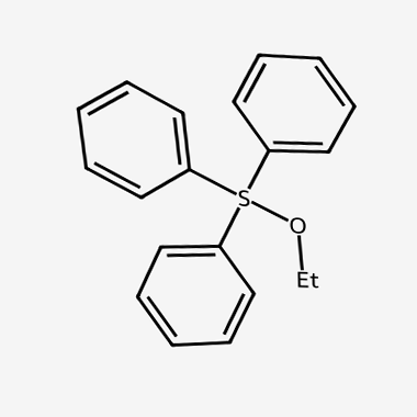 CCOS(c1ccccc1)(c1ccccc1)c1ccccc1